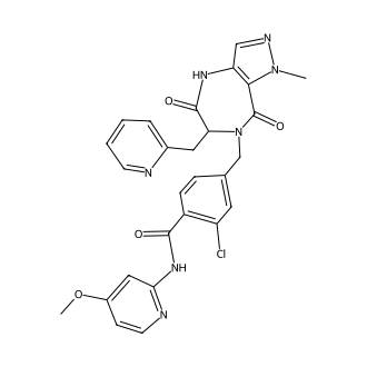 COc1ccnc(NC(=O)c2ccc(CN3C(=O)c4c(cnn4C)NC(=O)C3Cc3ccccn3)cc2Cl)c1